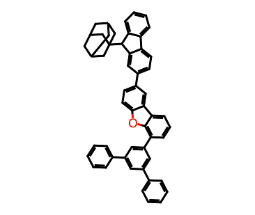 c1ccc(-c2cc(-c3ccccc3)cc(-c3cccc4c3oc3ccc(-c5ccc6c(c5)C(C57CC8CC(CC(C8)C5)C7)c5ccccc5-6)cc34)c2)cc1